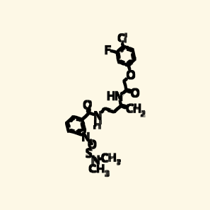 C=C(CCNC(=O)c1cccc2c1N2OSN(C)C)NC(=O)COc1ccc(Cl)c(F)c1